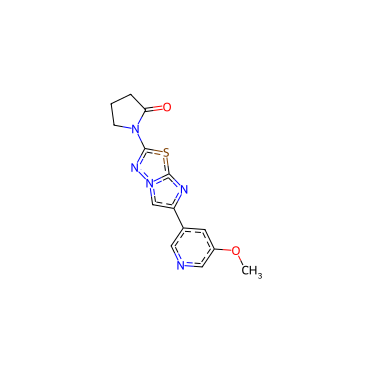 COc1cncc(-c2cn3nc(N4CCCC4=O)sc3n2)c1